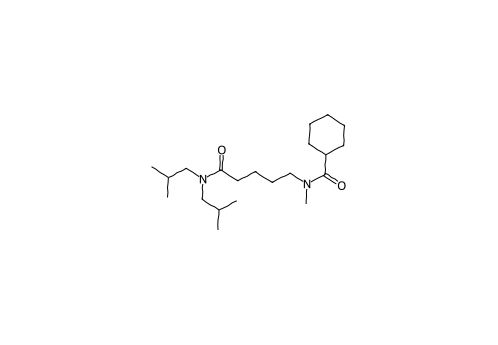 CC(C)CN(CC(C)C)C(=O)CCCCN(C)C(=O)C1CCCCC1